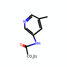 CCOC(=O)C(=O)Nc1cncc(C)c1